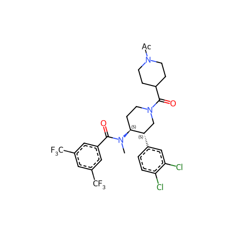 CC(=O)N1CCC(C(=O)N2CC[C@H](N(C)C(=O)c3cc(C(F)(F)F)cc(C(F)(F)F)c3)[C@@H](c3ccc(Cl)c(Cl)c3)C2)CC1